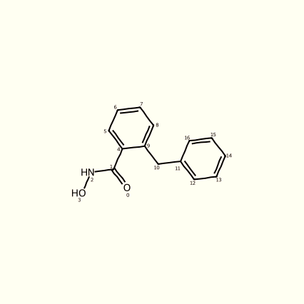 O=C(NO)c1ccccc1Cc1ccccc1